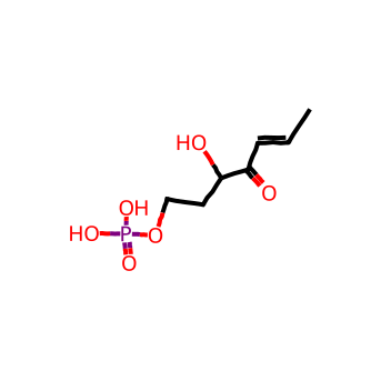 CC=CC(=O)C(O)CCOP(=O)(O)O